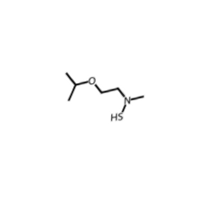 CC(C)OCCN(C)S